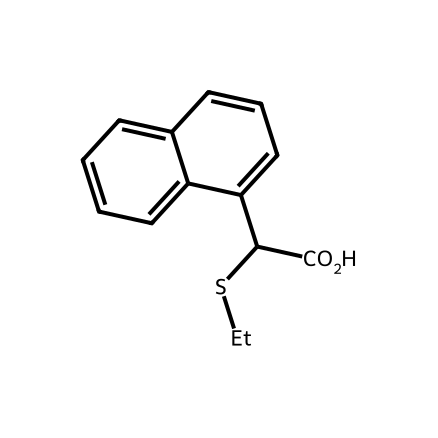 CCSC(C(=O)O)c1cccc2ccccc12